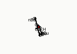 CCCCC1(CCCCCOC(=C(C)C(=O)O)C23CC4CC(OCCCCCC5(CCCC)CCO5)(CC(OCCCCCC5(CCCC)CCO5)(C4)C2)C3)CCO1